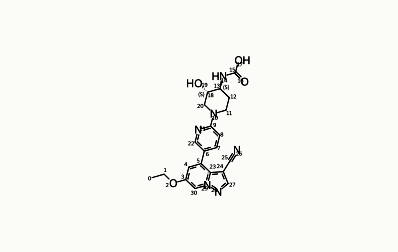 CCOc1cc(-c2ccc(N3CC[C@H](NC(=O)O)[C@@H](O)C3)nc2)c2c(C#N)cnn2c1